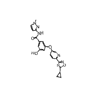 Cn1ccc(NC(=O)c2cc(O)cc(Oc3ccc(-c4noc(C5CC5)n4)nc3)c2)n1